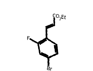 CCOC(=O)C=Cc1ccc(Br)cc1F